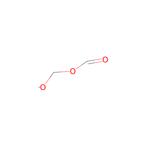 [O]COC=O